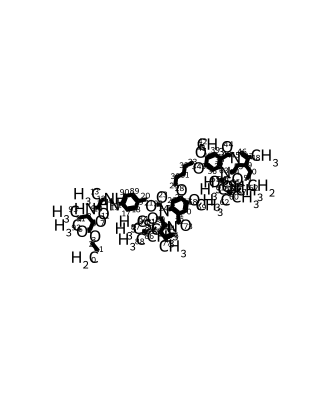 C=CCOC(=O)C(=O)C(NC(=O)C(C)NNc1ccc(COC(=O)N2c3cc(OCCCCCOc4cc5c(cc4OC)C(=O)N4C=C(C)C(CC=C)C4[C@H](O[Si](C)(C)C(C)(C)C)N5C(=O)O)c(OC)cc3C(=O)N3C=C(C)CC3[C@@H]2O[Si](C)(C)C(C)(C)C)cc1)C(C)C